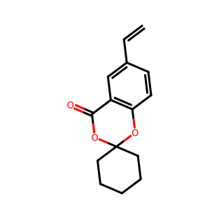 C=Cc1ccc2c(c1)C(=O)OC1(CCCCC1)O2